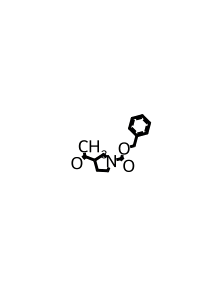 CC(=O)C1CCN(C(=O)OCc2ccccc2)C1